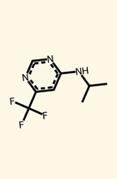 CC(C)Nc1cc(C(F)(F)F)ncn1